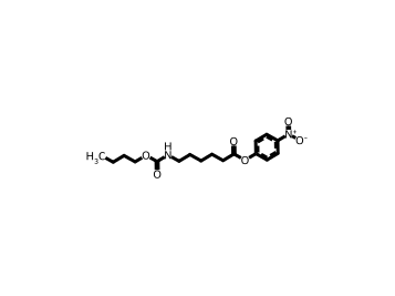 CCCCOC(=O)NCCCCCC(=O)Oc1ccc([N+](=O)[O-])cc1